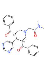 CN(C)C(=O)CN1C[C@H](C(=O)c2ccccc2)C(c2cncnc2)[C@H](C(=O)c2ccccc2)C1